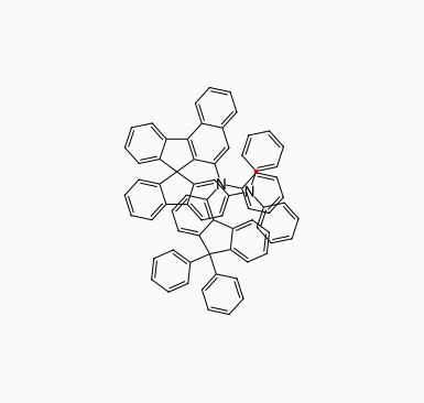 c1ccc(N(c2ccccc2)c2ccc3c(c2)C2(c4ccccc4-3)c3ccccc3-c3c2c(N(c2ccccc2)c2cccc4c2-c2ccccc2C4(c2ccccc2)c2ccccc2)cc2ccccc32)cc1